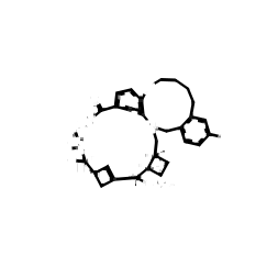 CO[C@@H]1C2=C[C@@H](C2)[C@H](C)N(C)S(=O)(=O)NC(=O)c2ccc3c(c2)N(Cc2ccc(Cl)cc2CCCCO3)C[C@@H]2CC[C@H]21